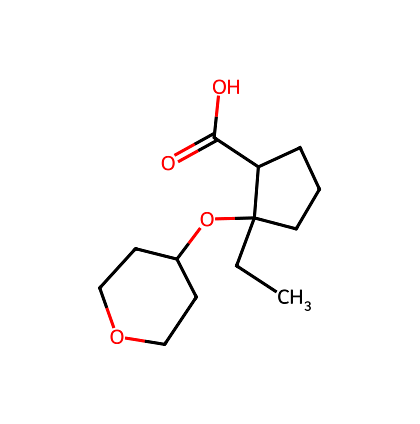 CCC1(OC2CCOCC2)CCCC1C(=O)O